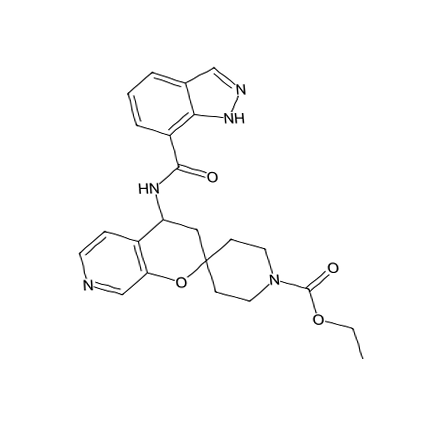 CCOC(=O)N1CCC2(CC1)CC(NC(=O)c1cccc3cn[nH]c13)c1ccncc1O2